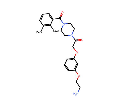 COc1cccc(C(=O)N2CCN(C(=O)COc3cccc(OCCN)c3)CC2)c1OC